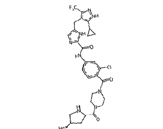 O=C(Nc1ccc(C(=O)N2CCN(C(=O)[C@@H]3C[C@@H](O)CN3)CC2)c(Cl)c1)c1ncc(Cc2c(C(F)(F)F)n[nH]c2C2CC2)[nH]1